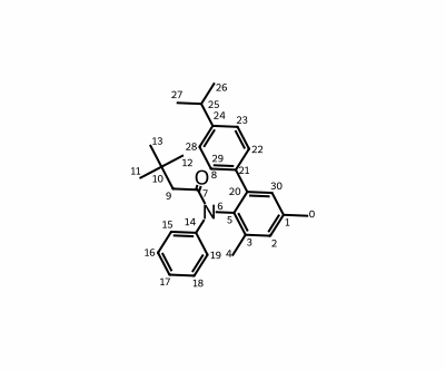 Cc1cc(C)c(N(C(=O)CC(C)(C)C)c2ccccc2)c(-c2ccc(C(C)C)cc2)c1